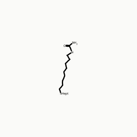 CCCCCCCCCCCCCCCC[N]C(N)=O